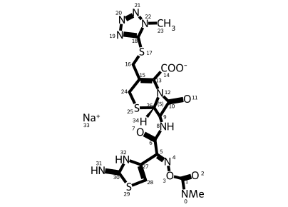 CNC(=O)ON=C(C(=O)NC1C(=O)N2C(C(=O)[O-])=C(CSc3nnnn3C)CS[C@@H]12)c1csc(=N)[nH]1.[Na+]